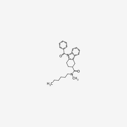 CCCCCCN(C)C(=O)C1CCc2c(c3ccccc3n2C(=O)c2ccccc2)C1